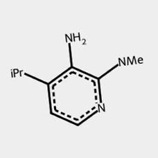 CNc1nccc(C(C)C)c1N